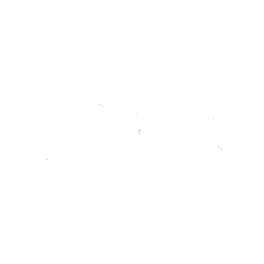 CC(C)(Nc1ccc(O)c(F)c1)C(=O)Nc1ccc(C#N)c(C(F)(F)F)c1